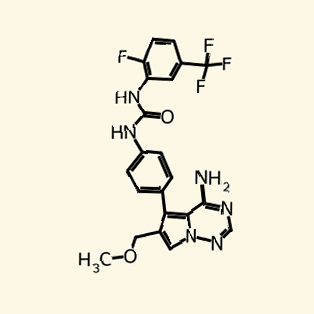 COCc1cn2ncnc(N)c2c1-c1ccc(NC(=O)Nc2cc(C(F)(F)F)ccc2F)cc1